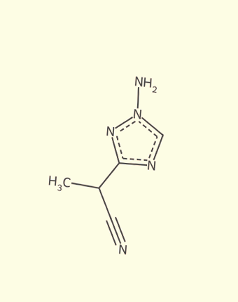 CC(C#N)c1ncn(N)n1